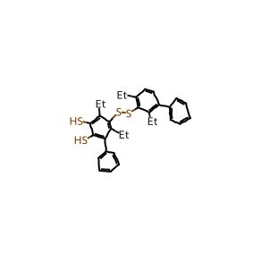 CCc1ccc(-c2ccccc2)c(CC)c1SSc1c(CC)c(S)c(S)c(-c2ccccc2)c1CC